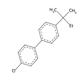 CCC(C)(C)c1ccc(-c2ccc(Cl)cc2)cc1